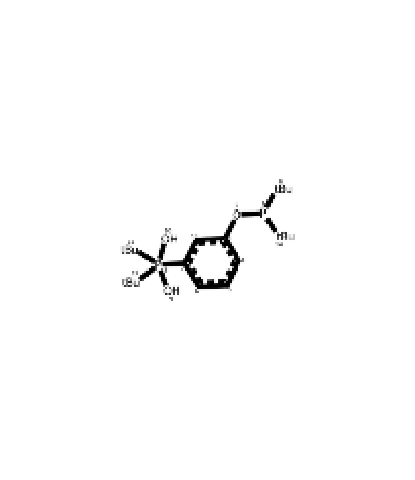 CC(C)(C)P(Oc1cccc(P(O)(O)(C(C)(C)C)C(C)(C)C)c1)C(C)(C)C